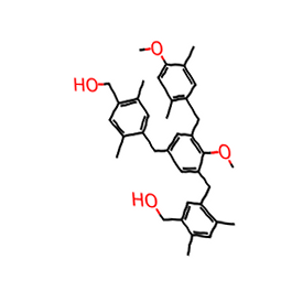 COc1cc(C)c(Cc2cc(Cc3cc(C)c(CO)cc3C)cc(Cc3cc(CO)c(C)cc3C)c2OC)cc1C